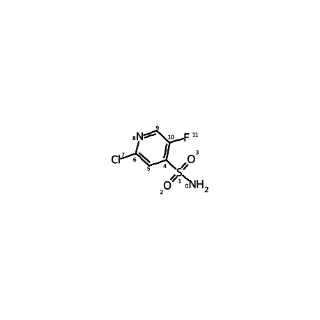 NS(=O)(=O)c1cc(Cl)ncc1F